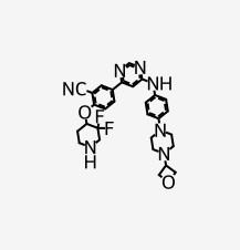 N#Cc1cc(-c2cc(Nc3ccc(N4CCN(C5COC5)CC4)cc3)ncn2)ccc1OC1CCNCC1(F)F